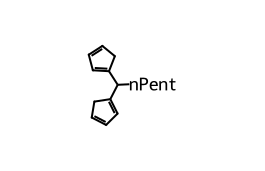 CCCCCC(C1=CC=CC1)C1=CC=CC1